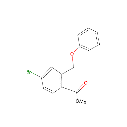 COC(=O)c1ccc(Br)cc1COc1ccccc1